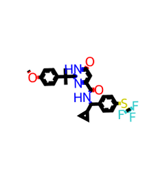 COc1ccc(C(C)(C)c2nc(C(=O)NC(c3ccc(SC(F)(F)F)cc3)C3CC3)cc(=O)[nH]2)cc1